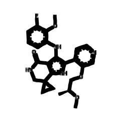 COc1c(F)cccc1Nc1c(-c2ccncc2OC[C@H](C)OC)[nH]c2c1C(=O)NCC21CC1